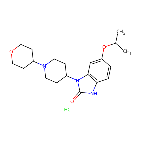 CC(C)Oc1ccc2[nH]c(=O)n(C3CCN(C4CCOCC4)CC3)c2c1.Cl